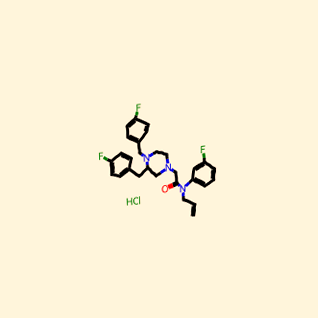 C=CCN(C(=O)CN1CCN(Cc2ccc(F)cc2)C(Cc2ccc(F)cc2)C1)c1cccc(F)c1.Cl